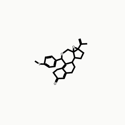 C=C(C)C12CCC3C4CCC5=CC(=O)CCC5=C4C(c4ccc(SC)cc4)OCC31O2